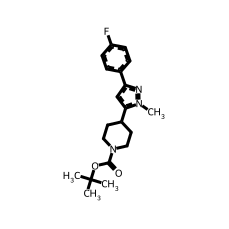 Cn1nc(-c2ccc(F)cc2)cc1C1CCN(C(=O)OC(C)(C)C)CC1